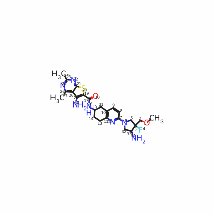 COCC1(F)CN(c2ccc3c(n2)CCC(NC(=O)c2sc4nc(C)nc(C)c4c2N)C3)CC1N